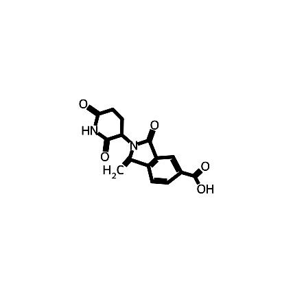 C=C1c2ccc(C(=O)O)cc2C(=O)N1C1CCC(=O)NC1=O